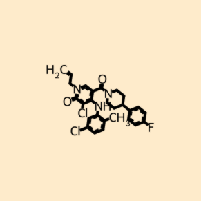 C=CCn1cc(C(=O)N2CCC(c3ccc(F)cc3)CC2)c(Nc2cc(Cl)ccc2C)c(Cl)c1=O